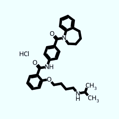 CC(C)NCCCCOc1ccccc1C(=O)Nc1ccc(C(=O)N2CCCCc3ccccc32)cc1.Cl